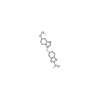 C[S+]([O-])c1nc2ccc(Cn3cnc4cc(OC(F)(F)F)ccc43)cc2s1